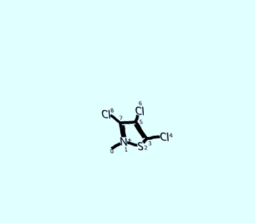 C[n+]1sc(Cl)c(Cl)c1Cl